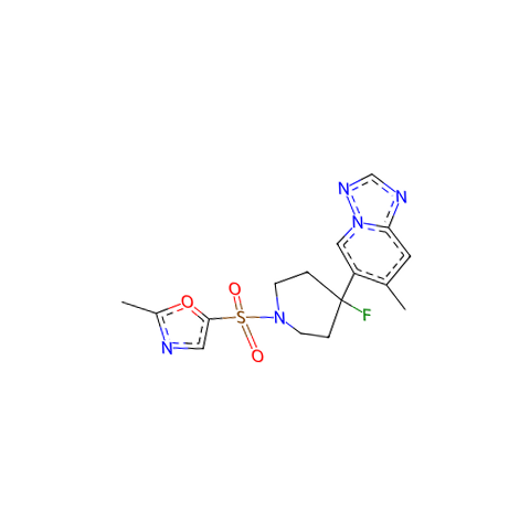 Cc1ncc(S(=O)(=O)N2CCC(F)(c3cn4ncnc4cc3C)CC2)o1